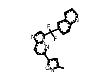 Cc1cc(-c2ccc3ncc(C(F)(F)c4ccc5ncccc5c4)n3n2)on1